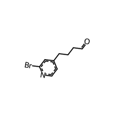 O=CCCCc1ccnc(Br)c1